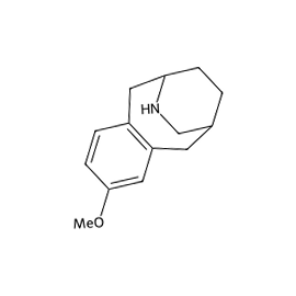 COc1ccc2c(c1)CC1CCC(C2)NC1